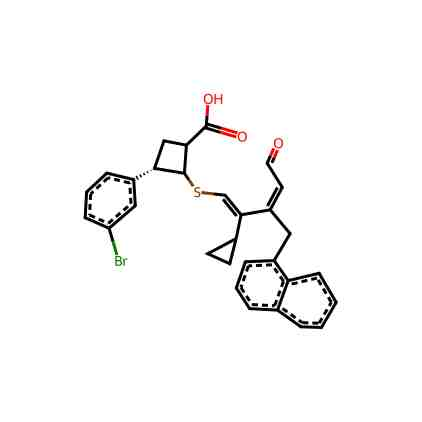 O=C/C=C(Cc1cccc2ccccc12)\C(=C\SC1C(C(=O)O)C[C@H]1c1cccc(Br)c1)C1CC1